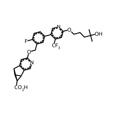 CC(C)(O)CCCOc1cc(C(F)(F)F)c(-c2ccc(F)c(COc3cc4c(cn3)C3C5C4C35C(=O)O)c2)cn1